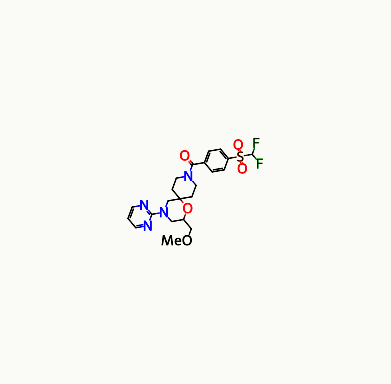 COCC1CN(c2ncccn2)CC2(CCN(C(=O)c3ccc(S(=O)(=O)C(F)F)cc3)CC2)O1